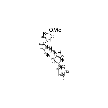 COc1ccc(-c2ccc3cnc(Nc4ccc(N5CCN(C)CC5)nc4)nn23)cn1